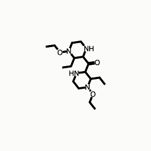 CCON1CCNC(C(=O)C2NCCN(OCC)C2CC)C1CC